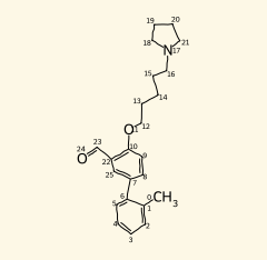 Cc1ccccc1-c1ccc(OCCCCCN2CCCC2)c(C=O)c1